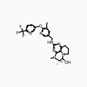 Cc1cc(CNc2nc3c4c(n2)N(C)[C@@H](C)C(O)N4CCC3)cnc1Oc1ccc(C(F)(F)F)nc1